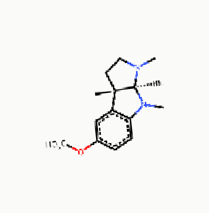 CN1CC[C@@]2(C)c3cc(OC(=O)O)ccc3N(C)[C@]12C(C)(C)C